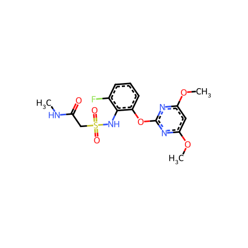 CNC(=O)CS(=O)(=O)Nc1c(F)cccc1Oc1nc(OC)cc(OC)n1